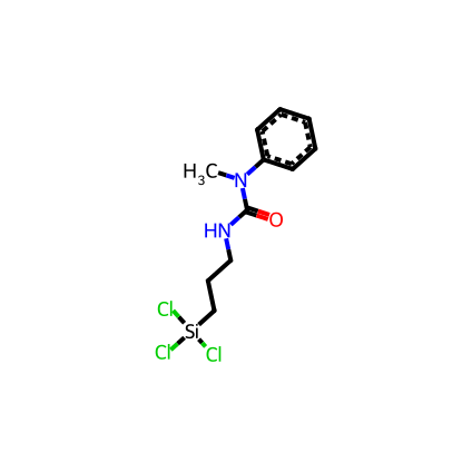 CN(C(=O)NCCC[Si](Cl)(Cl)Cl)c1ccccc1